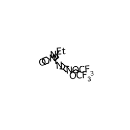 CCc1cc(CN2CC3CN(C(=O)OC(C(F)(F)F)C(F)(F)F)CC3C2)n(C2CCOCC2)n1